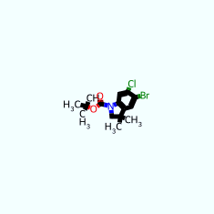 CC(C)(C)OC(=O)N1CC(C)(C)c2cc(Br)c(Cl)cc21